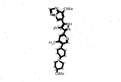 COc1cc(-c2[nH]nc(-c3cc(C)c(C4CCC(N5CCC(OC)CC5)CC4)cn3)c2C(C)C)cn2ncnc12